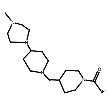 CC(C)C(=O)N1CCC(CN2CCC(N3CCN(C)CC3)CC2)CC1